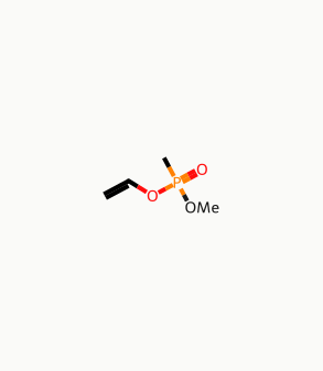 C=COP(C)(=O)OC